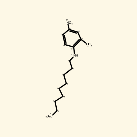 CCCCCCCCCCCCCCCCCCNc1ccc([N+](=O)[O-])cc1C